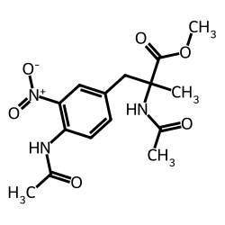 COC(=O)C(C)(Cc1ccc(NC(C)=O)c([N+](=O)[O-])c1)NC(C)=O